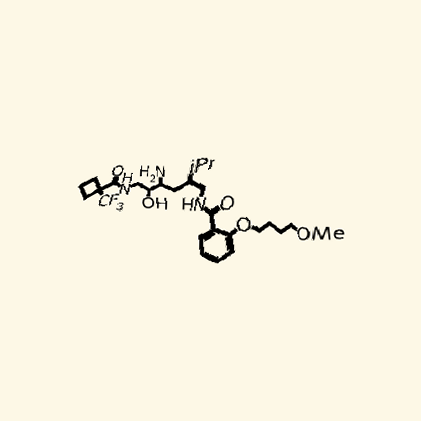 COCCCCOc1ccccc1C(=O)NCC(CC(N)C(O)CNC(=O)C1(C(F)(F)F)CCC1)C(C)C